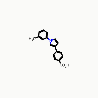 Cc1cccc(-n2ccc(-c3ccc(C(=O)O)cc3)c2)c1